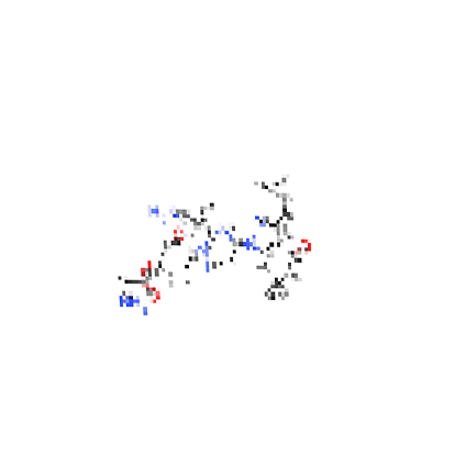 CC/C(=N\C(NC1CCC(OC(=O)CN)CC1)=C(/C)C(N)=O)n1nc(CC2CC2)c2c1CC(C)(C)CC2=O